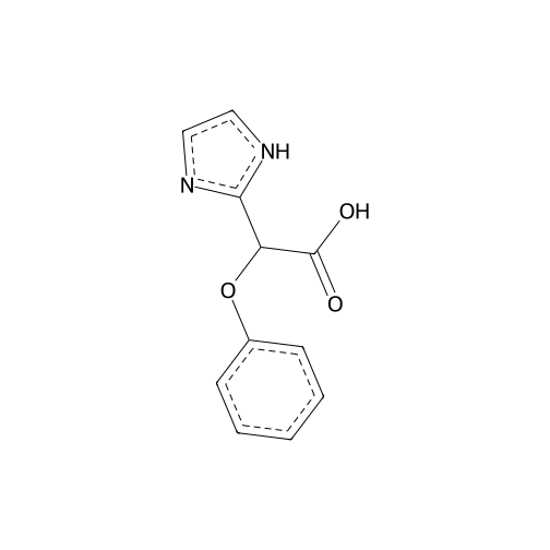 O=C(O)C(Oc1ccccc1)c1ncc[nH]1